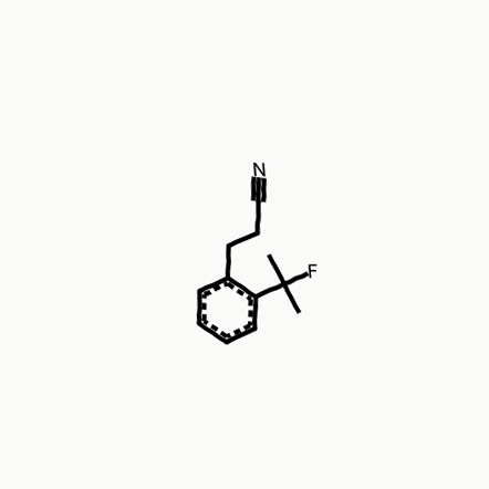 CC(C)(F)c1ccccc1CCC#N